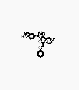 CN1CCN(C(=O)COc2ccccc2)C(c2nc(-c3ccc4[nH]ncc4c3)no2)C1